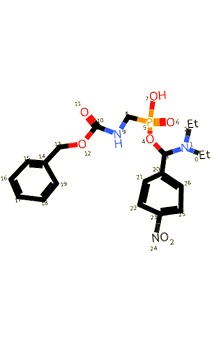 CCN(CC)C(OP(=O)(O)CNC(=O)OCc1ccccc1)c1ccc([N+](=O)[O-])cc1